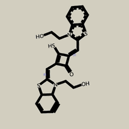 O=C1C(/C=C2/SC3C=CC#CC3N2CCO)=C(S)C/1=C\c1sc2ccccc2[n+]1CCO